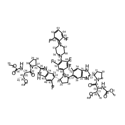 COC(=O)N[C@H](C(=O)N1CCC[C@H]1c1nc2cc([C@H]3CC[C@H](c4cc5nc([C@@H]6CCCN6C(=O)[C@@H](NC(=O)OC)[C@@H](C)OC)[nH]c5cc4F)N3c3cc(F)c(N4CCN(c5c(F)cccc5F)CC4)c(F)c3)c(F)cc2[nH]1)[C@@H](C)OC